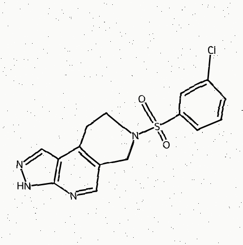 O=S(=O)(c1cccc(Cl)c1)N1CCc2c(cnc3[nH]ncc23)C1